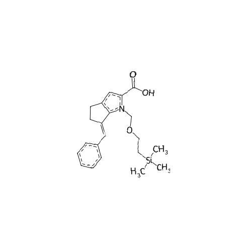 C[Si](C)(C)CCOCn1c(C(=O)O)cc2c1C(=Cc1ccccc1)CC2